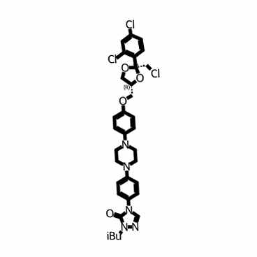 CCC(C)n1ncn(-c2ccc(N3CCN(c4ccc(OC[C@@H]5CO[C@@](CCl)(c6ccc(Cl)cc6Cl)O5)cc4)CC3)cc2)c1=O